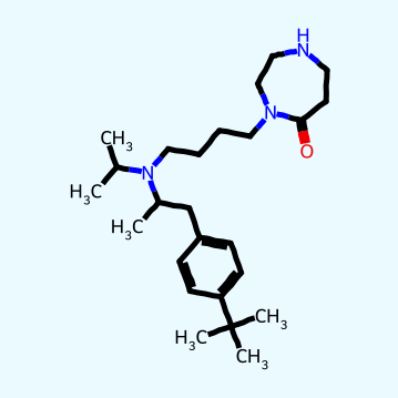 CC(C)N(CCCCN1CCNCCC1=O)C(C)Cc1ccc(C(C)(C)C)cc1